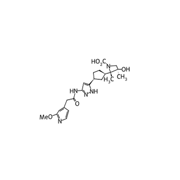 COc1cc(CC(=O)Nc2cc([C@H]3CC[C@@H]([C@]4(C)N(C(=O)O)C[C@@]4(C)O)C3)[nH]n2)ccn1